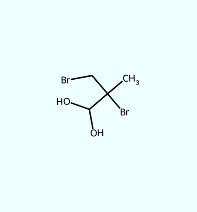 CC(Br)(CBr)C(O)O